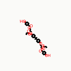 C=CC(=O)OC(COC(=O)c1ccc(O)cc1)COc1ccc(C(C)(C)c2ccc(OCC(COC(=O)c3ccc(O)cc3)OC(=O)C=C)cc2)cc1